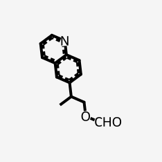 CC(COC=O)c1ccc2ncccc2c1